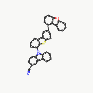 N#Cc1ccc2c(c1)c1ccccc1n2-c1cccc2c1sc1ccc(-c3cccc4oc5ccccc5c34)cc12